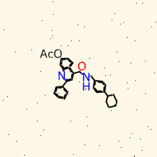 CC(=O)Oc1ccc2c(C(=O)NCc3ccc(C4CCCCC4)cc3)cc(-c3ccccc3)nc2c1